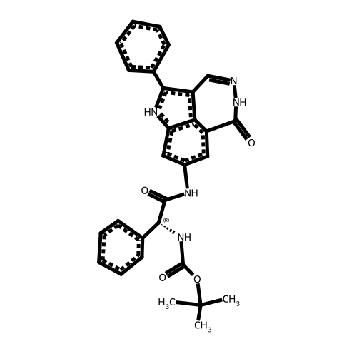 CC(C)(C)OC(=O)N[C@@H](C(=O)Nc1cc2c3c(c(-c4ccccc4)[nH]c3c1)C=NNC2=O)c1ccccc1